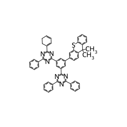 CC1(C)c2ccccc2Sc2cc(-c3cc(-c4nc(C5=CC=CCC5)nc(-c5ccccc5)n4)cc(-c4nc(-c5ccccc5)nc(-c5ccccc5)n4)c3)ccc21